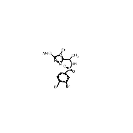 CCn1c(OC)nnc1[C@@H](C)NS(=O)(=O)c1ccc(Br)c(Br)c1